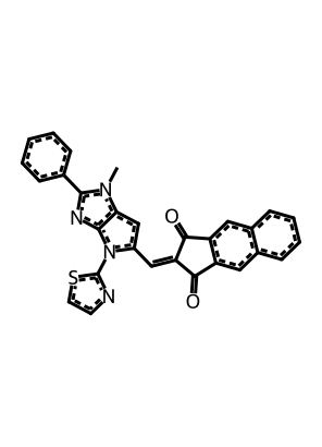 Cn1c(-c2ccccc2)nc2c1cc(C=C1C(=O)c3cc4ccccc4cc3C1=O)n2-c1nccs1